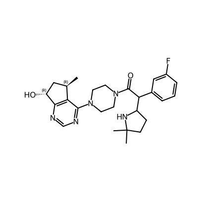 C[C@@H]1C[C@@H](O)c2ncnc(N3CCN(C(=O)C(c4cccc(F)c4)C4CCC(C)(C)N4)CC3)c21